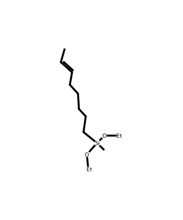 CC=CCCCCC[Si](C)(OCC)OCC